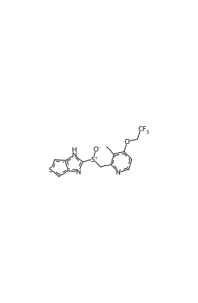 Cc1c(OCC(F)(F)F)ccnc1C[S+]([O-])c1nc2cscc2[nH]1